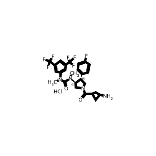 CN(C(=O)N(C)[C@@H]1CN(C(=O)C2CC(N)C2)C[C@H]1c1ccc(F)cc1)c1cc(C(F)(F)F)cc(C(F)(F)F)c1.Cl